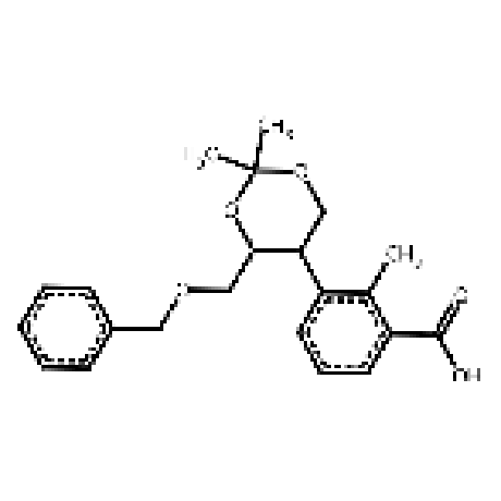 Cc1c(C(=O)O)cccc1C1COC(C)(C)OC1COCc1ccccc1